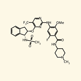 COc1cc(C(=O)NC2CCN(C)CC2)c(F)cc1Nc1ncc(C(F)(F)F)c(O[C@@H]2Cc3ccccc3[C@H]2NS(C)(=O)=O)n1